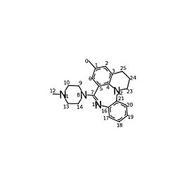 Cc1cc2c3c(c1)C(N1CCN(C)CC1)=Nc1ccccc1N3CCC2